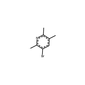 [CH2]c1nc(C)c(C)cc1Br